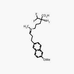 COc1ccc2cc(CCC=[N+](C)CCCC(N)(C(=O)O)C(F)F)ccc2c1